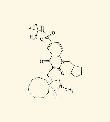 CN1CC(Cn2c(=O)c3cc(S(=O)(=O)NC4(C)CC4)ccc3n(CC3CCCC3)c2=O)C2(CCCCCCCC2)N1